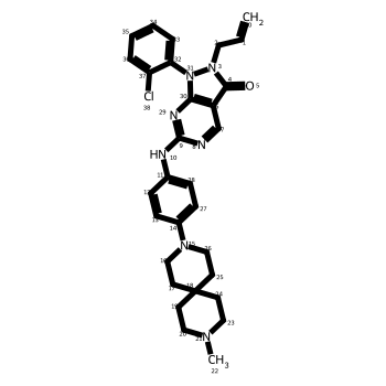 C=CCn1c(=O)c2cnc(Nc3ccc(N4CCC5(CCN(C)CC5)CC4)cc3)nc2n1-c1ccccc1Cl